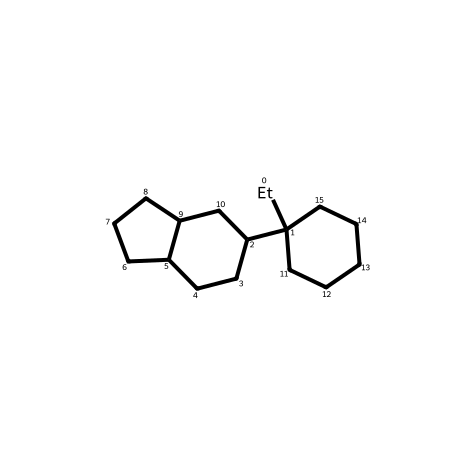 CCC1(C2CCC3CCCC3C2)CCCCC1